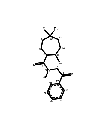 C=C(CN(C)C(=C)C1CCC(C)(F)CCC1C)c1ccccc1